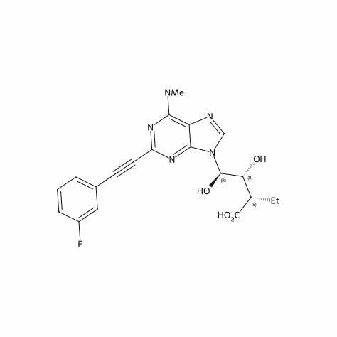 CC[C@H](C(=O)O)[C@@H](O)[C@@H](O)n1cnc2c(NC)nc(C#Cc3cccc(F)c3)nc21